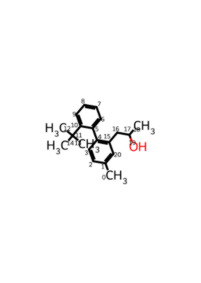 Cc1ccc(-c2ccccc2C(C)(C)C)c(CC(C)O)c1